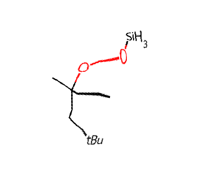 CC(C)(C)CC(C)(C)OO[SiH3]